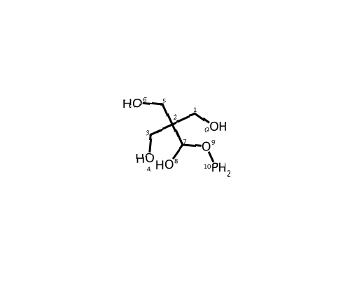 OCC(CO)(CO)C(O)OP